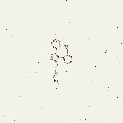 PCOCCn1nnc2c1-c1ccccc1CNc1ccccc1-2